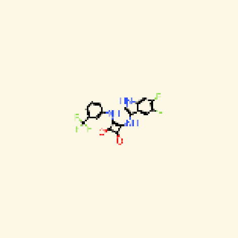 O=c1c(Nc2cccc(C(F)(F)F)c2)c(Nc2c[nH]c3cc(F)c(F)cc23)c1=O